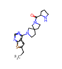 O=C(C1CCCN1)N1CCC2(CCN(c3ncnc4sc(CC(F)(F)F)cc34)C2)C1